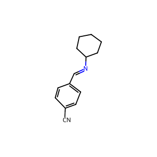 N#Cc1ccc(/C=N/C2CCCCC2)cc1